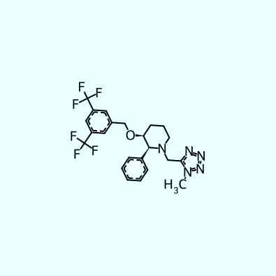 Cn1nnnc1CN1CCC[C@H](OCc2cc(C(F)(F)F)cc(C(F)(F)F)c2)[C@@H]1c1ccccc1